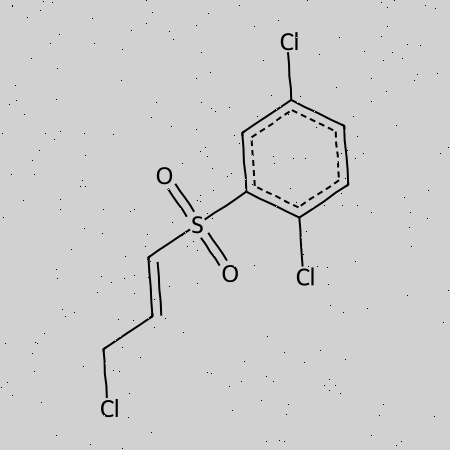 O=S(=O)(C=CCCl)c1cc(Cl)ccc1Cl